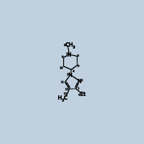 CCc1nn(C2CCN(C)CC2)cc1C